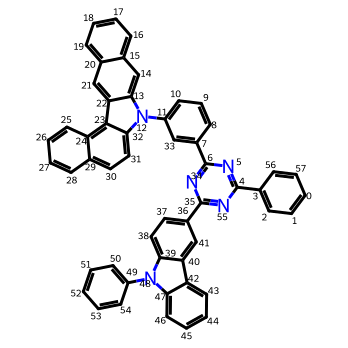 c1ccc(-c2nc(-c3cccc(-n4c5cc6ccccc6cc5c5c6ccccc6ccc54)c3)nc(-c3ccc4c(c3)c3ccccc3n4-c3ccccc3)n2)cc1